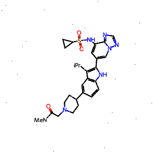 CNC(=O)CN1CCC(c2ccc3[nH]c(-c4cc(NS(=O)(=O)C5CC5)c5ncnn5c4)c(C(C)C)c3c2)CC1